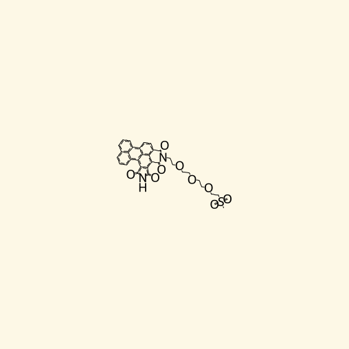 CS(=O)(=O)CCOCCOCCOCCN1C(=O)c2ccc3c4cccc5cccc(c54)c4c5c(=O)[nH]c(=O)c5c(c2c34)C1=O